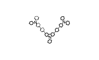 C1=CC(N(C2=CC=C(C3=CC=C(c4ccc5c(c4)c4cc(-c6ccc(-c7ccc(N(c8ccccc8)c8ccccc8)cc7)cc6)ccc4n5-c4ccccc4)CC3)CC2)c2ccccc2)=CCC1